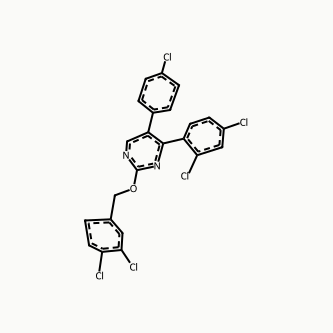 Clc1ccc(-c2cnc(OCc3ccc(Cl)c(Cl)c3)nc2-c2ccc(Cl)cc2Cl)cc1